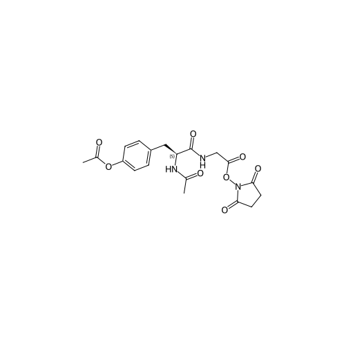 CC(=O)N[C@@H](Cc1ccc(OC(C)=O)cc1)C(=O)NCC(=O)ON1C(=O)CCC1=O